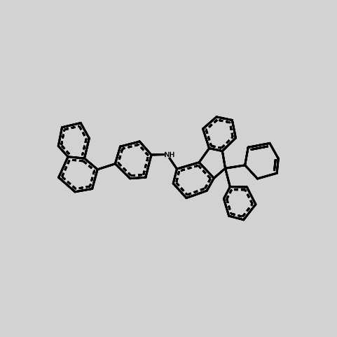 C1=CCC(C2(c3ccccc3)c3ccccc3-c3c(Nc4ccc(-c5cccc6ccccc56)cc4)cccc32)C=C1